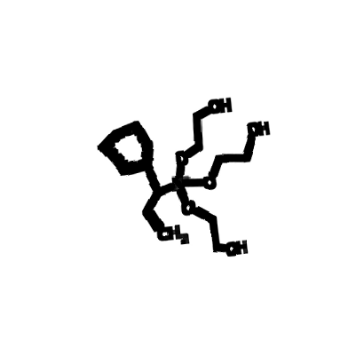 C=CC(c1ccccc1)[N+](OCCO)(OCCO)OCCO